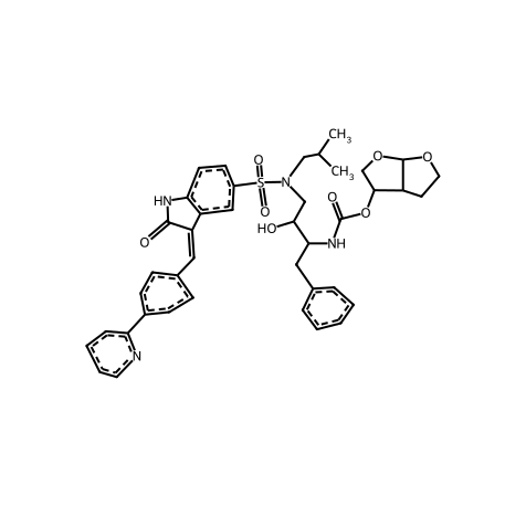 CC(C)CN(CC(O)C(Cc1ccccc1)NC(=O)OC1COC2OCCC12)S(=O)(=O)c1ccc2c(c1)/C(=C/c1ccc(-c3ccccn3)cc1)C(=O)N2